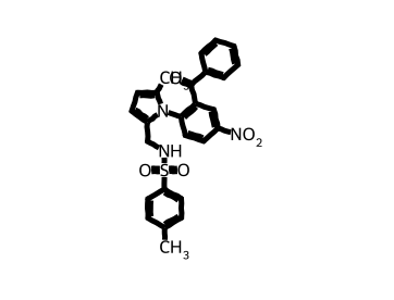 Cc1ccc(S(=O)(=O)NCc2ccc(C)n2-c2ccc([N+](=O)[O-])cc2C(=O)c2ccccc2)cc1